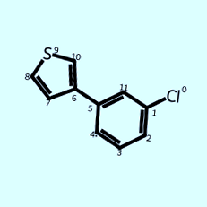 Clc1cc[c]c(-c2ccsc2)c1